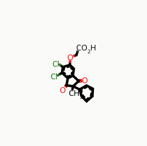 CC1(c2ccccc2)C(=O)c2cc(OCC(=O)O)c(Cl)c(Cl)c2C1=O